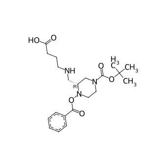 CC(C)(C)OC(=O)N1CCN(OC(=O)c2ccccc2)[C@H](CNCCCC(=O)O)C1